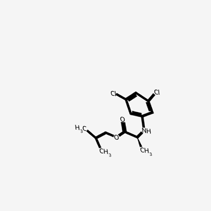 CC(C)COC(=O)[C@H](C)Nc1cc(Cl)cc(Cl)c1